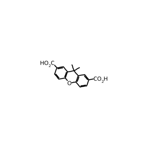 CC1(C)c2cc(C(=O)O)ccc2Oc2ccc(C(=O)O)cc21